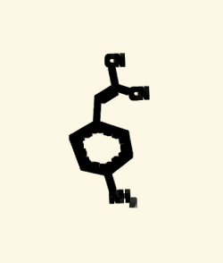 N#CC(C#N)=Cc1ccc(N)cc1